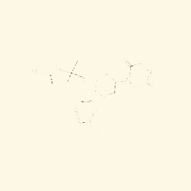 CC(C)(CCC1(c2cccc(Cl)c2)CCC(N2CC(=O)NCC2=O)CC1)OC(N)=O